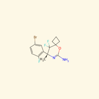 C[C@]1(c2cc(Br)ccc2F)N=C(N)OC2(CCC2)C1(F)F